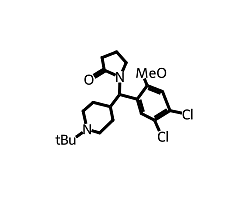 COc1cc(Cl)c(Cl)cc1C(C1CCN(C(C)(C)C)CC1)N1CCCC1=O